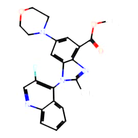 COC(=O)c1cc(N2CCOCC2)cc2c1nc(C)n2-c1c(F)cnc2ccccc12